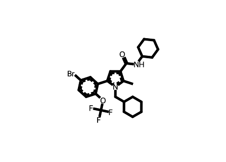 Cc1c(C(=O)NC2CCCCC2)cc(-c2cc(Br)ccc2OC(F)(F)F)n1CC1CCCCC1